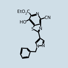 CCOC(=O)c1nc(C#N)c2nc(-c3cnn(Cc4ccccc4)c3)sc2c1O